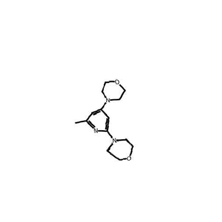 Cc1cc(N2CCOCC2)cc(N2CCOCC2)n1